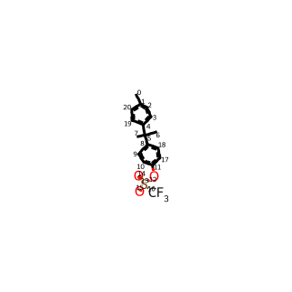 Cc1ccc(C(C)(C)c2ccc(OS(=O)(=O)C(F)(F)F)cc2)cc1